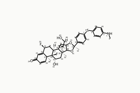 CNc1ccc(Sc2ccc([C@]3(C)O[C@@H]4CC5[C@@H]6C[C@H](F)C7=CC(=O)C=C[C@]7(C)[C@@]6(F)[C@@H](O)C[C@]5(C)[C@]4(C(=O)CO)O3)cc2)cc1